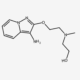 CN(CCO)CCOc1nn2ccccc2c1N